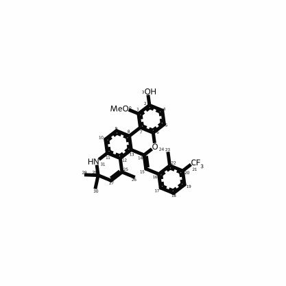 COc1c(O)ccc2c1-c1ccc3c(c1/C(=C/c1cccc(C(F)(F)F)c1C)O2)C(C)=CC(C)(C)N3